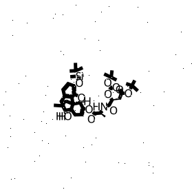 CC1CCC23c4c5ccc(O[Si](C)(C)C(C)(C)C)c4O[C@H]2C(OC(=O)[C@H](C)NC(=O)[C@H](CC(=O)OC(C)(C)C)OC(=O)OC(C)(C)C)=CC[C@@]3(O)[C@H]1C5